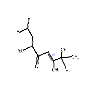 CCC(CC(F)F)C(=O)/C=C(\O)C(CC)(C(F)(F)F)C(F)(F)F